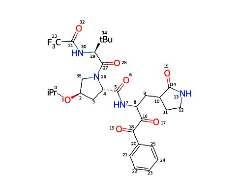 CC(C)O[C@@H]1C[C@@H](C(=O)NC(CC2CCNC2=O)C(=O)C(=O)c2ccccc2)N(C(=O)[C@@H](NC(=O)C(F)(F)F)C(C)(C)C)C1